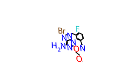 COCCOc1nc(N)c2nc(Br)n(Cc3cc(C#N)ccc3F)c2n1